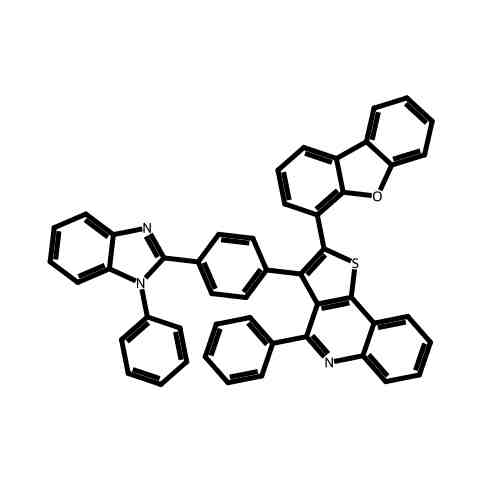 c1ccc(-c2nc3ccccc3c3sc(-c4cccc5c4oc4ccccc45)c(-c4ccc(-c5nc6ccccc6n5-c5ccccc5)cc4)c23)cc1